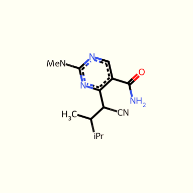 CNc1ncc(C(N)=O)c(C(C#N)C(C)C(C)C)n1